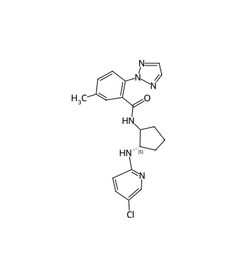 Cc1ccc(-n2nccn2)c(C(=O)NC2CCC[C@@H]2Nc2ccc(Cl)cn2)c1